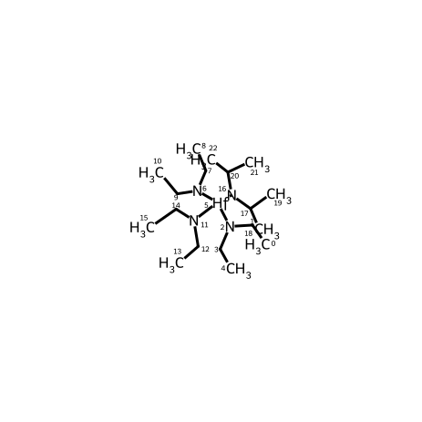 CC[N](CC)[Hf]([N](CC)CC)([N](CC)CC)[N](C(C)C)C(C)C